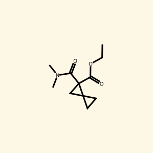 CCOC(=O)C1(C(=O)N(C)C)CC12CC2